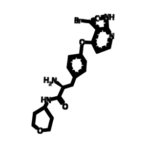 N[C@@H](Cc1ccc(Oc2ccnc3[nH]cc(Br)c23)cc1)C(=O)NC1CCOCC1